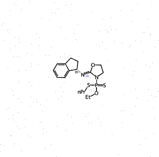 CCCSP(=S)(OCC)N1CCO/C1=N\[C@H]1CCc2ccccc21